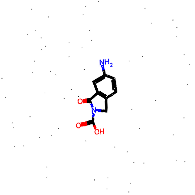 Nc1ccc2c(c1)C(=O)N(C(=O)O)C2